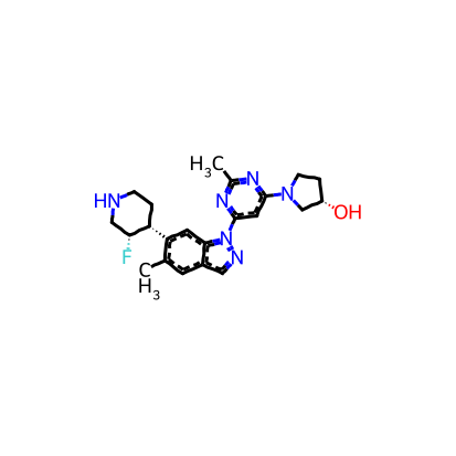 Cc1nc(N2CC[C@H](O)C2)cc(-n2ncc3cc(C)c([C@H]4CCNC[C@H]4F)cc32)n1